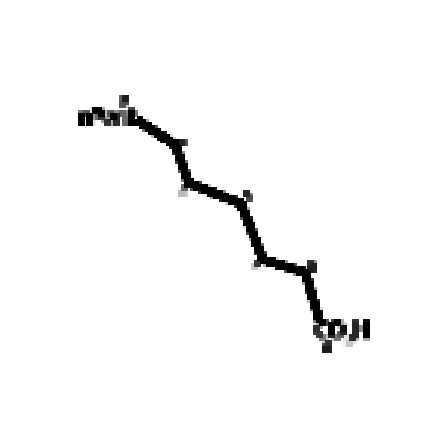 CCCCCCCCCCC(=O)O